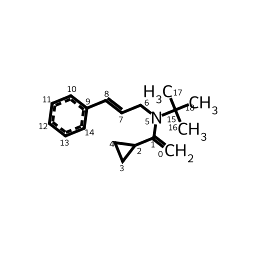 C=C(C1CC1)N(C/C=C/c1ccccc1)C(C)(C)C